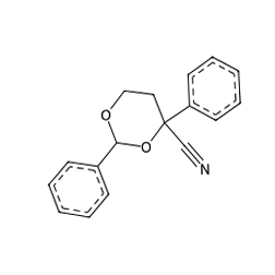 N#CC1(c2ccccc2)CCOC(c2ccccc2)O1